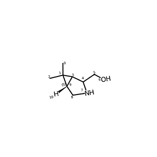 CC1(C)C2C(CO)NC[C@@H]21